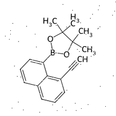 C#Cc1cccc2cccc(B3OC(C)(C)C(C)(C)O3)c12